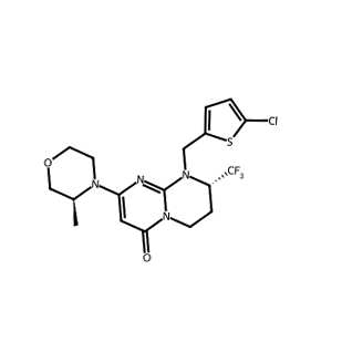 C[C@H]1COCCN1c1cc(=O)n2c(n1)N(Cc1ccc(Cl)s1)[C@H](C(F)(F)F)CC2